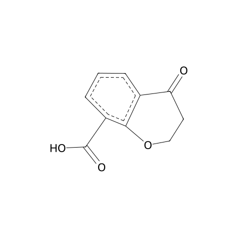 O=C(O)c1cccc2c1OCCC2=O